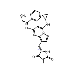 CC[C@H](Nc1cc(NC2CC2)n2ncc(/C=C3\NC(=O)NC3=O)c2n1)c1ccccc1